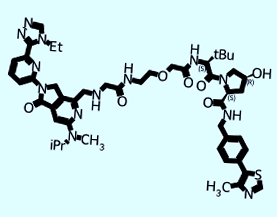 CCn1cnnc1-c1cccc(N2Cc3c(cc(N(C)C(C)C)nc3CNCC(=O)NCCOCC(=O)N[C@H](C(=O)N3C[C@H](O)C[C@H]3C(=O)NCc3ccc(-c4scnc4C)cc3)C(C)(C)C)C2=O)n1